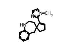 Cn1ccnc1C1=CCCC12CCNc1ccccc1C2